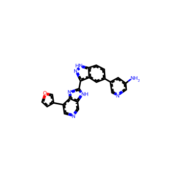 Nc1cncc(-c2ccc3[nH]nc(-c4nc5c(-c6ccoc6)cncc5[nH]4)c3c2)c1